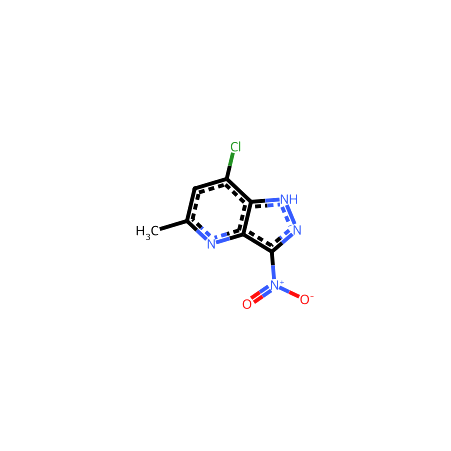 Cc1cc(Cl)c2[nH]nc([N+](=O)[O-])c2n1